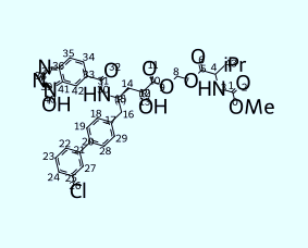 COC(=O)NC(C(=O)OCOC(=O)[C@H](O)C[C@@H](Cc1ccc(-c2cccc(Cl)c2)cc1)NC(=O)c1ccc2nnn(O)c2c1)C(C)C